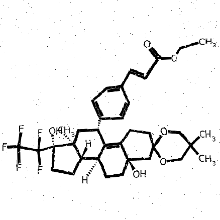 CCOC(=O)C=Cc1ccc([C@H]2C[C@@]3(C)[C@@H](CC[C@@]3(O)C(F)(F)C(F)(F)F)[C@@H]3CC[C@@]4(O)CC5(CCC4=C32)OCC(C)(C)CO5)cc1